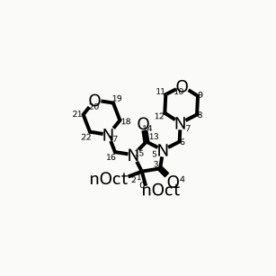 CCCCCCCCC1(CCCCCCCC)C(=O)N(CN2CCOCC2)C(=O)N1CN1CCOCC1